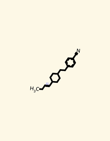 CC/C=C/C1CCC(CCc2ccc(C#N)cc2)CC1